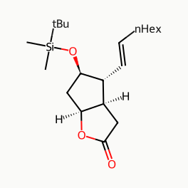 CCCCCC/C=C/[C@@H]1[C@H]2CC(=O)O[C@H]2C[C@H]1O[Si](C)(C)C(C)(C)C